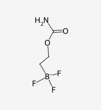 NC(=O)OCC[B-](F)(F)F